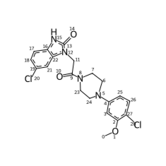 COc1cc(N2CCN(C(=O)Cn3c(=O)[nH]c4ccc(Cl)cc43)CC2)ccc1Cl